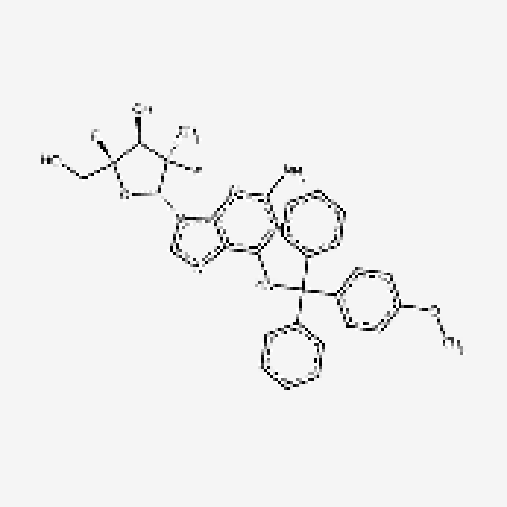 COc1ccc(C(Nc2nc(N)nc3c2ncn3[C@@H]2O[C@](F)(CO)[C@@H](O)[C@@]2(C)F)(c2ccccc2)c2ccccc2)cc1